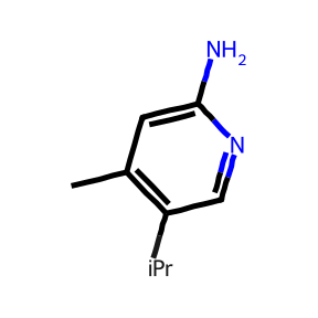 Cc1cc(N)ncc1C(C)C